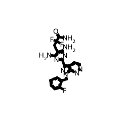 NC(=O)C(F)(F)Cc1c(N)nc(-c2nn(Cc3ccccc3F)c3nnccc23)nc1N